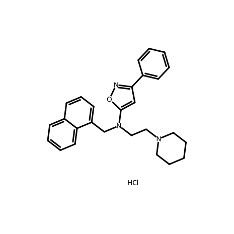 Cl.c1ccc(-c2cc(N(CCN3CCCCC3)Cc3cccc4ccccc34)on2)cc1